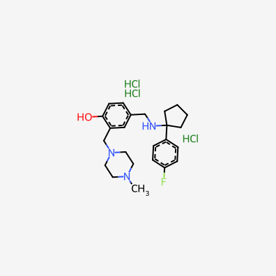 CN1CCN(Cc2cc(CNC3(c4ccc(F)cc4)CCCC3)ccc2O)CC1.Cl.Cl.Cl